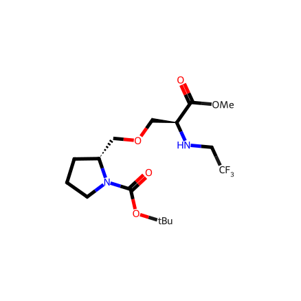 COC(=O)[C@H](COC[C@H]1CCCN1C(=O)OC(C)(C)C)NCC(F)(F)F